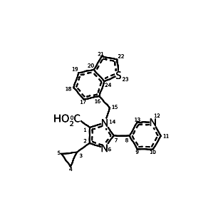 O=C(O)c1c(C2CC2)nc(-c2cccnc2)n1Cc1cccc2ccsc12